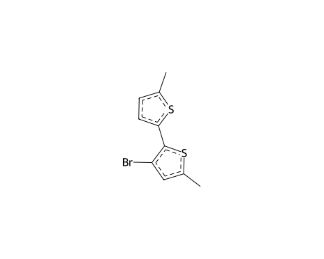 Cc1ccc(-c2sc(C)cc2Br)s1